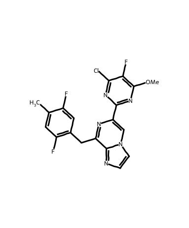 COc1nc(-c2cn3ccnc3c(Cc3cc(F)c(C)cc3F)n2)nc(Cl)c1F